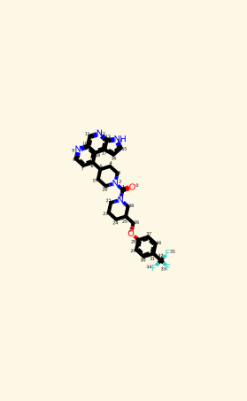 O=C(N1CCC(c2ccnc3cnc4[nH]ccc4c23)CC1)N1CCCC(COc2ccc(C(F)(F)F)cc2)C1